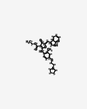 CCOC(=O)C1=C(Nc2ccc(OCCN3CCCC3)cc2C)OC(=Cc2c[nH]c3ncccc23)C1=O